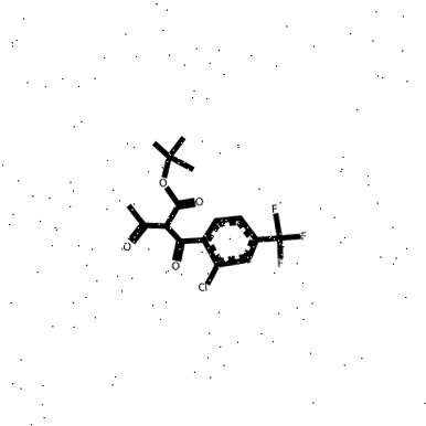 CC(=O)C(C(=O)OC(C)(C)C)C(=O)c1ccc(C(F)(F)F)cc1Cl